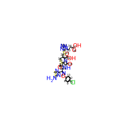 Nc1nc(C(=NOc2ccc(Cl)cc2)C(=O)NC2C(=O)N3C(C(=O)O)=C(CSc4nnnn4CCC(=O)O)CS[C@@H]23)ns1